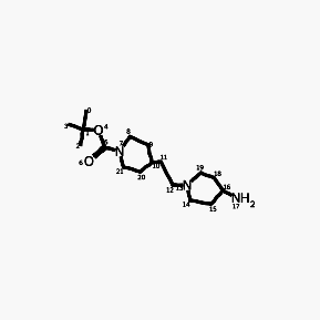 CC(C)(C)OC(=O)N1CCC(CCN2CCC(N)CC2)CC1